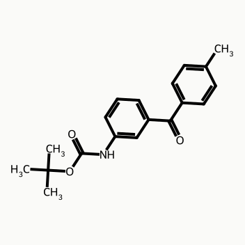 Cc1ccc(C(=O)c2cccc(NC(=O)OC(C)(C)C)c2)cc1